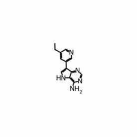 CCc1cncc(-c2c[nH]c3c(N)ncnc23)c1